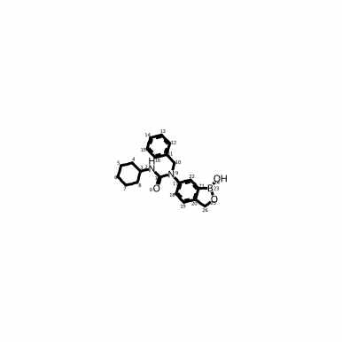 O=C(NC1CCCCC1)N(Cc1ccccc1)c1ccc2c(c1)B(O)OC2